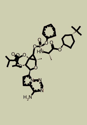 CC(C)C(=O)O[C@H]1[C@H](c2ccc3c(N)ncnn23)O[C@]2(C)C(O[P@@](=O)(N[C@@H](C)C(=O)O[C@H]3CC[C@H](C(C)(C)C)CC3)Oc3ccccc3)[C@]12OC(=O)C(C)C